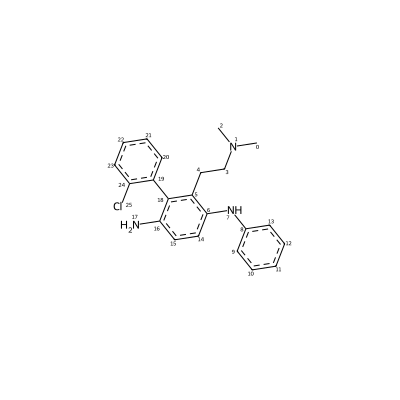 CN(C)CCc1c(Nc2ccccc2)ccc(N)c1-c1ccccc1Cl